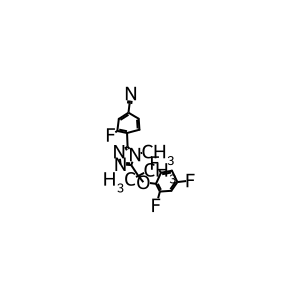 Cn1c(-c2ccc(C#N)cc2F)nnc1C(C)(C)Oc1c(F)cc(F)cc1F